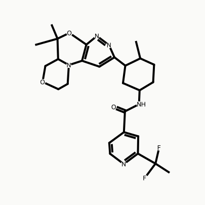 CC1CCC(NC(=O)c2ccnc(C(C)(F)F)c2)CC1c1cc2c(nn1)OC(C)(C)C1COCCN21